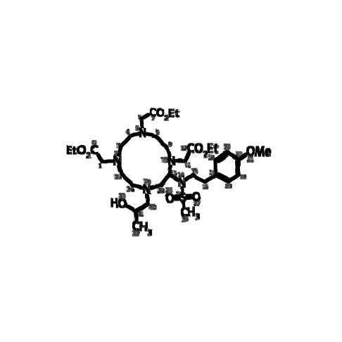 CCOC(=O)CN1CCN(CC(=O)OCC)CCN(CC(=O)OCC)C(N(CCc2ccc(OC)cc2)S(C)(=O)=O)CN(CC(C)O)CC1